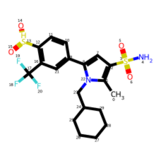 Cc1c(S(N)(=O)=O)cc(-c2ccc([SH](=O)=O)c(C(F)(F)F)c2)n1CC1CCCCC1